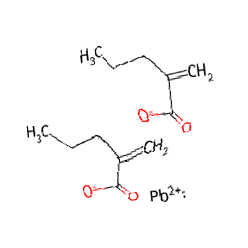 C=C(CCC)C(=O)[O-].C=C(CCC)C(=O)[O-].[Pb+2]